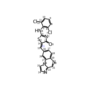 O=C1N=C(Nc2c(Cl)cccc2Cl)S/C1=C/c1ccc2ncc3nccn3c2c1